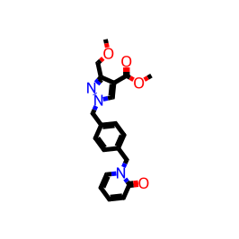 COCc1nn(Cc2ccc(Cn3ccccc3=O)cc2)cc1C(=O)OC